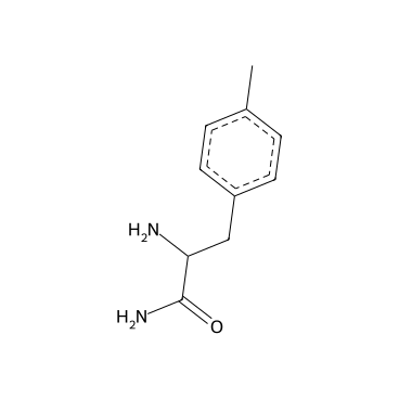 Cc1ccc(CC(N)C(N)=O)cc1